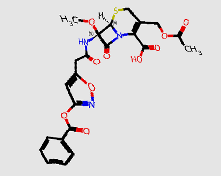 CO[C@@]1(NC(=O)Cc2cc(OC(=O)c3ccccc3)no2)C(=O)N2C(C(=O)O)=C(COC(C)=O)CS[C@@H]21